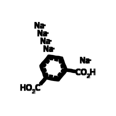 O=C(O)c1cccc(C(=O)O)c1.[Na].[Na].[Na].[Na].[Na]